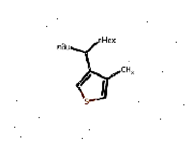 CCCCCCC(CCCC)c1cscc1C